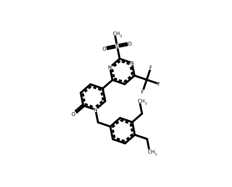 CCc1ccc(Cn2cc(-c3cc(C(F)(F)F)nc(S(C)(=O)=O)n3)ccc2=O)cc1CC